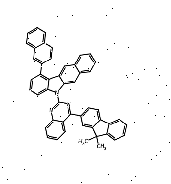 CC1(C)c2ccccc2-c2ccc(-c3nc(-n4c5cc6ccccc6cc5c5c(-c6ccc7ccccc7c6)cccc54)nc4ccccc34)cc21